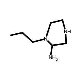 CCCN1CCNCC1N